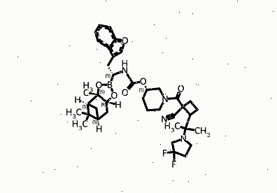 CC1(C)[C@@H]2C[C@H]3OB([C@H](Cc4coc5ccccc45)NC(=O)O[C@H]4CCCN(C(=O)C5(C#N)CCC5C(C)(C)N5CCC(F)(F)C5)C4)O[C@@]3(C)[C@H]1C2